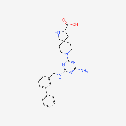 Nc1nc(NCc2cccc(-c3ccccc3)c2)nc(N2CCC3(CC2)CNC(C(=O)O)C3)n1